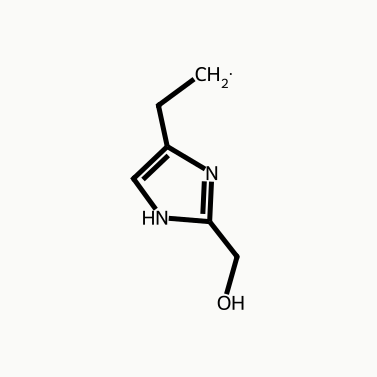 [CH2]Cc1c[nH]c(CO)n1